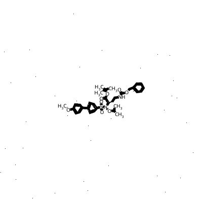 COc1ccc(-c2ccc(S(=O)(=O)N(OC(C)C)[C@H](CCNC(=O)OCc3ccccc3)C(=O)OC(C)(C)C)cc2)cc1